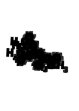 CC1(C)c2ccccc2-c2ccc(N(c3ccc4c(c3)C(C)(C)c3ccccc3-4)c3ccc4c5cc6c(cc5n(-c5ccccc5)c4c3)C(C)(C)c3ccccc3-6)cc21